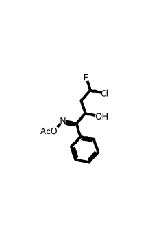 CC(=O)O/N=C(\c1ccccc1)C(O)CC(F)Cl